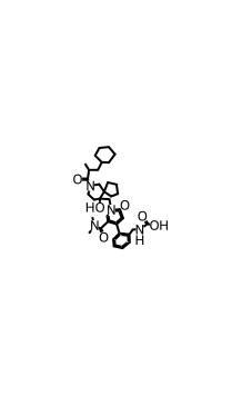 CC(CC1CCCCC1)C(=O)N1CCC(O)(Cn2cc(C(=O)N(C)C)c(-c3ccccc3CNC(=O)O)cc2=O)C2(CCCC2)C1